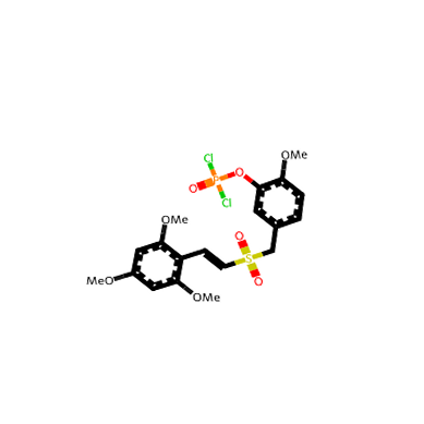 COc1cc(OC)c(/C=C/S(=O)(=O)Cc2ccc(OC)c(OP(=O)(Cl)Cl)c2)c(OC)c1